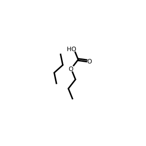 CCCC.CCCOC(=O)O